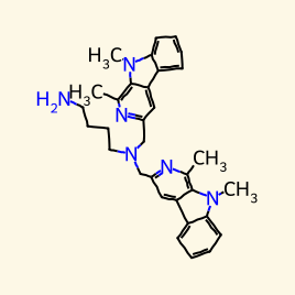 Cc1nc(CN(CCCCN)Cc2cc3c4ccccc4n(C)c3c(C)n2)cc2c3ccccc3n(C)c12